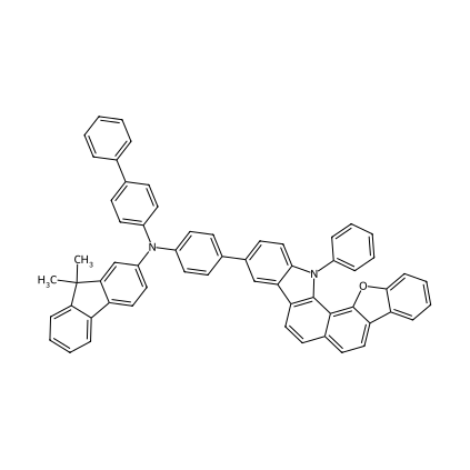 CC1(C)c2ccccc2-c2ccc(N(c3ccc(-c4ccccc4)cc3)c3ccc(-c4ccc5c(c4)c4ccc6ccc7c8ccccc8oc7c6c4n5-c4ccccc4)cc3)cc21